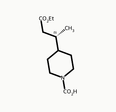 CCOC(=O)C[C@H](C)C1CCN(C(=O)O)CC1